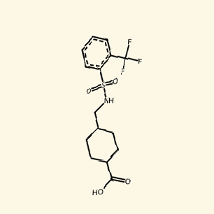 O=C(O)C1CCC(CNS(=O)(=O)c2ccccc2C(F)(F)F)CC1